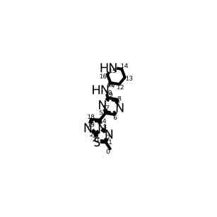 Cc1nn2c(-c3cncc(N[C@@H]4CCCNC4)n3)cnc2s1